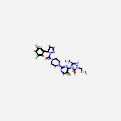 CCn1nc(C)n(-c2nc(N3CCN(C(=O)N4N=CCC4c4cc(F)cc(F)c4)CC3)ncc2F)c1=O